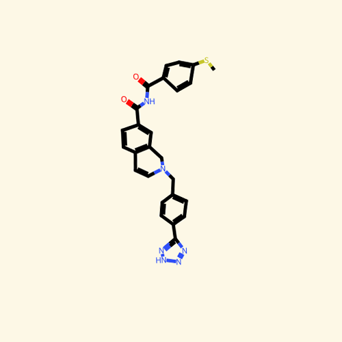 CSc1ccc(C(=O)NC(=O)c2ccc3c(c2)CN(Cc2ccc(-c4nn[nH]n4)cc2)C=C3)cc1